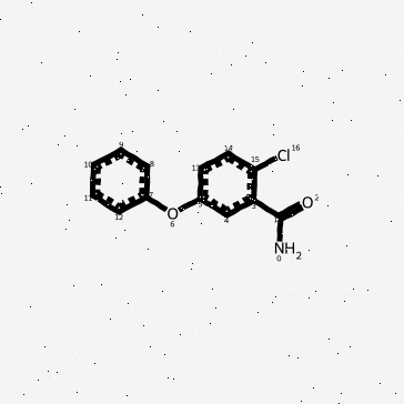 NC(=O)c1cc(Oc2ccccc2)ccc1Cl